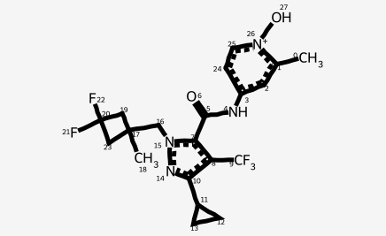 Cc1cc(NC(=O)c2c(C(F)(F)F)c(C3CC3)nn2CC2(C)CC(F)(F)C2)cc[n+]1O